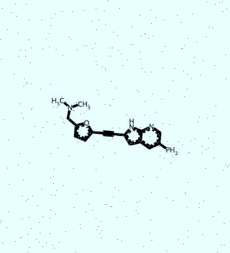 CN(C)Cc1ccc(C#Cc2cc3cc(P)cnc3[nH]2)o1